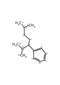 CN(C)CCC(c1ccccc1)N(C)C